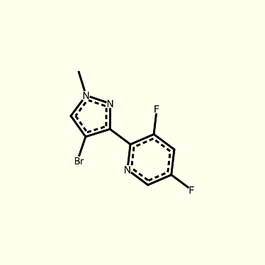 Cn1cc(Br)c(-c2ncc(F)cc2F)n1